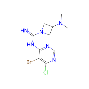 CN(C)C1CN(C(=N)Nc2ncnc(Cl)c2Br)C1